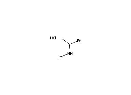 CCC(C)NC(C)C.Cl